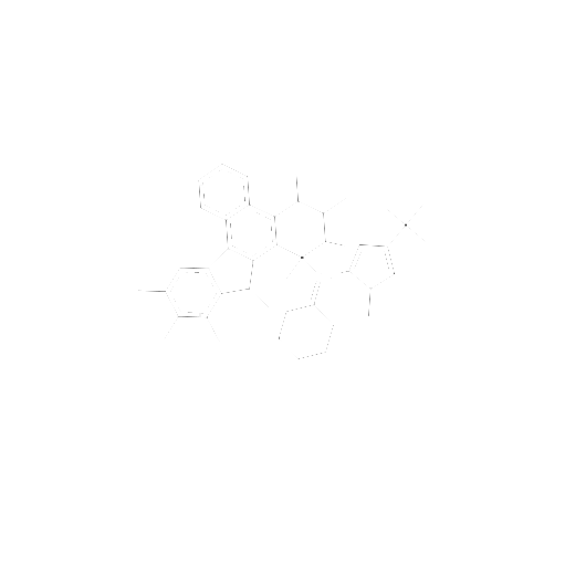 Cc1cc2c(c(C)c1C)C(C)c1c3c(c4ccccc4c1-2)C(C)C(C)C(C)[C]3(C)[Zr+2]([C]1=CC(C(C)(C)C)=CC1C)=[C]1CCCCC1.[Cl-].[Cl-]